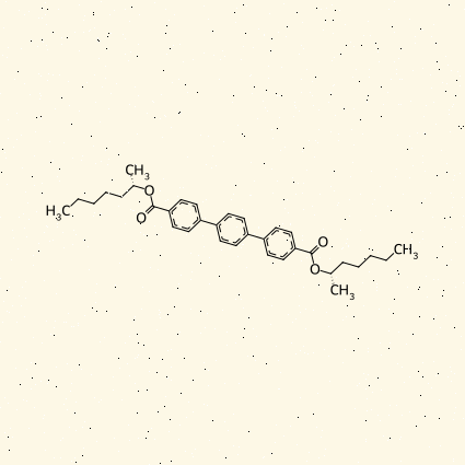 CCCCC[C@H](C)OC(=O)c1ccc(-c2ccc(-c3ccc(C(=O)O[C@@H](C)CCCCC)cc3)cc2)cc1